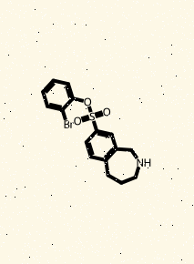 O=S(=O)(Oc1ccccc1Br)c1ccc2c(c1)CNCCC2